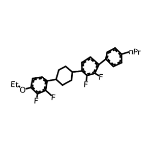 CCCc1ccc(-c2ccc(C3CCC(c4ccc(OCC)c(F)c4F)CC3)c(F)c2F)cc1